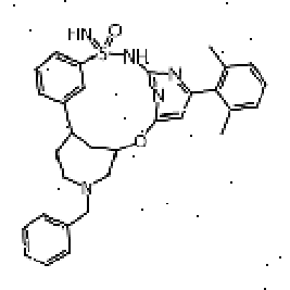 Cc1cccc(C)c1-c1cc2nc(n1)NS(=N)(=O)c1cccc(c1)C1CCN(Cc3ccccc3)CC(C1)O2